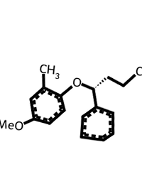 COc1ccc(O[C@H](CCCl)c2ccccc2)c(C)c1